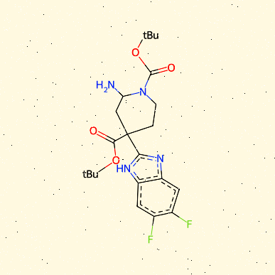 CC(C)(C)OC(=O)N1CCC(C(=O)OC(C)(C)C)(c2nc3cc(F)c(F)cc3[nH]2)CC1N